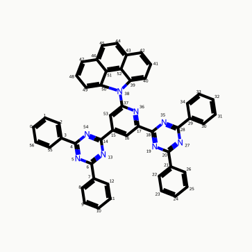 c1ccc(-c2nc(-c3ccccc3)nc(-c3cc(-c4nc(-c5ccccc5)nc(-c5ccccc5)n4)nc(-n4c5cccc6ccc7cccc4c7c65)c3)n2)cc1